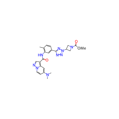 COC(=O)N1CC(n2nnc(-c3ccc(C)c(NC(=O)c4cnn5ccc(N(C)C)cc45)c3)n2)C1